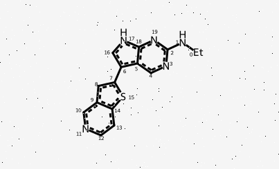 CCNc1ncc2c(-c3cc4cnccc4s3)c[nH]c2n1